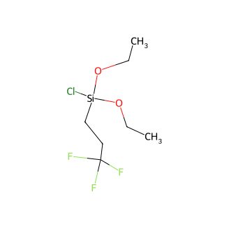 CCO[Si](Cl)(CCC(F)(F)F)OCC